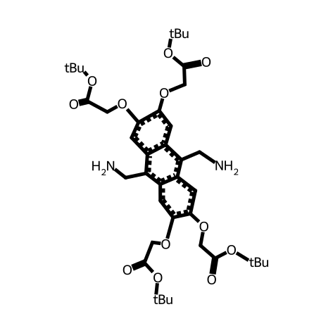 CC(C)(C)OC(=O)COc1cc2c(CN)c3cc(OCC(=O)OC(C)(C)C)c(OCC(=O)OC(C)(C)C)cc3c(CN)c2cc1OCC(=O)OC(C)(C)C